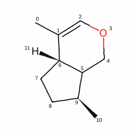 CC1=COCC2[C@@H]1CC[C@@H]2C